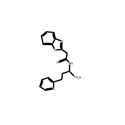 O=C(Cc1nc2ccccc2o1)NC(CCc1ccccn1)C(=O)O